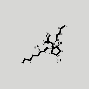 CCCCC[C@H](O)/C=C/[C@@]1([C@@H](CCCCC)C(=O)O)C[C@@H](O)C[C@@H]1O